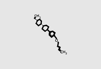 C=CCCCOCc1ccc(C2CCC([C@H]3CC[C@H](C=C)CC3)CC2)cc1